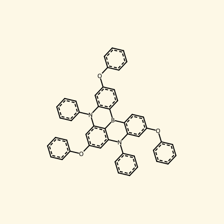 c1ccc(Oc2ccc3c(c2)N(c2ccccc2)c2cc(Oc4ccccc4)cc4c2B3c2ccc(Oc3ccccc3)cc2N4c2ccccc2)cc1